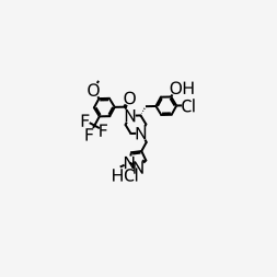 COc1cc(C(=O)N2CCN(Cc3cnn(C)c3)C[C@H]2Cc2ccc(Cl)c(O)c2)cc(C(F)(F)F)c1.Cl